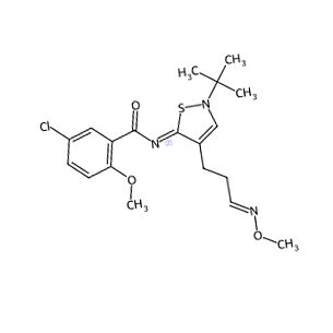 CON=CCCc1cn(C(C)(C)C)s/c1=N\C(=O)c1cc(Cl)ccc1OC